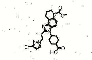 COC(=O)N1c2ccc3c(nc([C@@H](C)Cn4ccc(Cl)n4)n3C3CCC(C(=O)O)CC3)c2CC[C@@H]1C